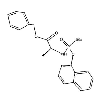 C[C@H](NP(=O)(Oc1cccc2ccccc12)C(C)(C)C)C(=O)OCc1ccccc1